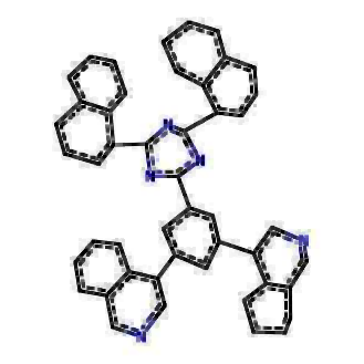 c1ccc2c(-c3cc(-c4nc(-c5cccc6ccccc56)nc(-c5cccc6ccccc56)n4)cc(-c4cncc5ccccc45)c3)cncc2c1